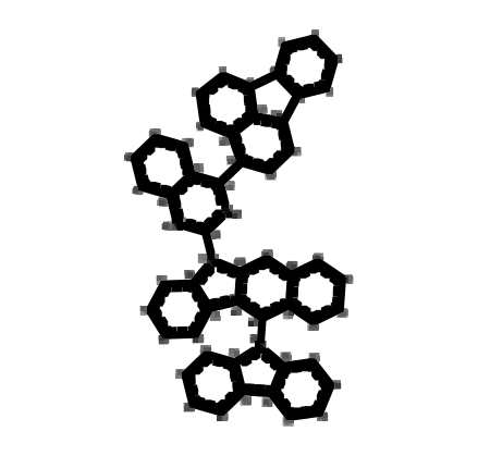 c1ccc2c(c1)-c1cccc3c(-c4nc(-n5c6ccccc6c6c(-n7c8ccccc8c8ccccc87)c7ccccc7cc65)nc5ccccc45)ccc-2c13